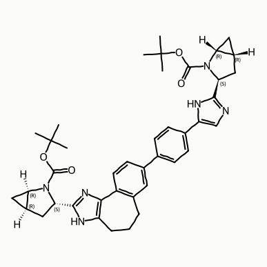 CC(C)(C)OC(=O)N1[C@@H]2C[C@@H]2C[C@H]1c1ncc(-c2ccc(-c3ccc4c(c3)CCCc3[nH]c([C@@H]5C[C@H]6C[C@H]6N5C(=O)OC(C)(C)C)nc3-4)cc2)[nH]1